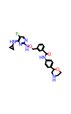 O=C(Nc1ccc(C2CNCCO2)cc1)c1cccc(CONc2ncc(F)c(NC3CC3)n2)c1